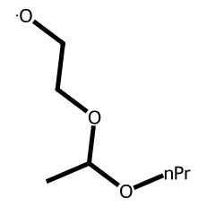 CCCOC(C)OCC[O]